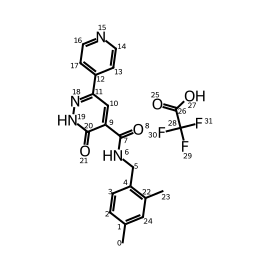 Cc1ccc(CNC(=O)c2cc(-c3ccncc3)n[nH]c2=O)c(C)c1.O=C(O)C(F)(F)F